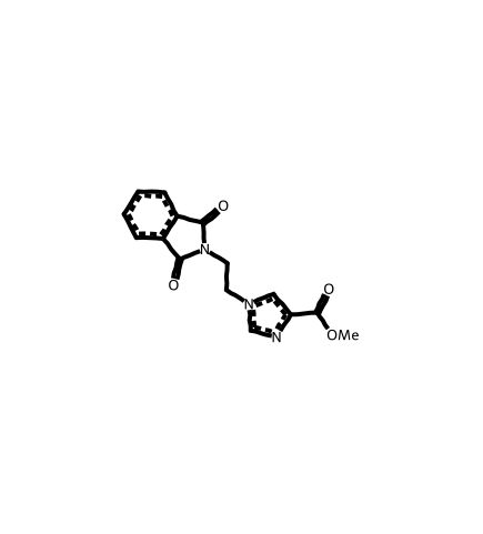 COC(=O)c1cn(CCN2C(=O)c3ccccc3C2=O)cn1